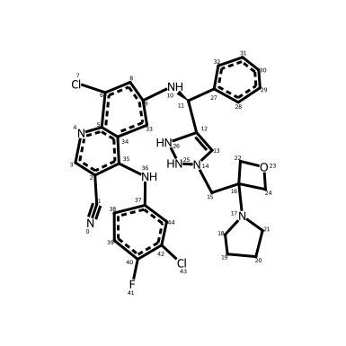 N#Cc1cnc2c(Cl)cc(N[C@H](C3=CN(CC4(N5CCCC5)COC4)NN3)c3ccccc3)cc2c1Nc1ccc(F)c(Cl)c1